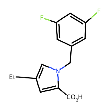 CCc1cc(C(=O)O)n(Cc2cc(F)cc(F)c2)c1